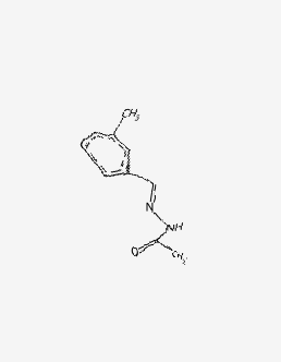 [CH2]C(=O)NN=Cc1cccc(C)c1